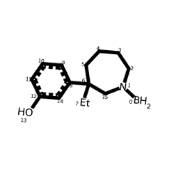 BN1CCCCC(CC)(c2cccc(O)c2)C1